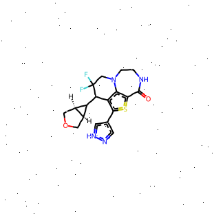 O=C1NCCN2CC(F)(F)C(C3[C@H]4COC[C@@H]34)c3c(-c4cn[nH]c4)sc1c32